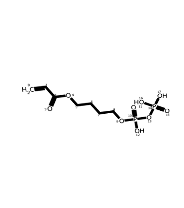 C=CC(=O)OCCCCOP(=O)(O)OP(=O)(O)O